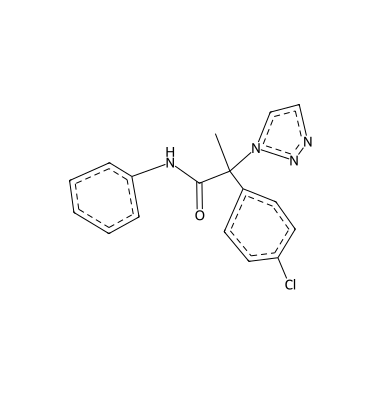 CC(C(=O)Nc1ccccc1)(c1ccc(Cl)cc1)n1ccnn1